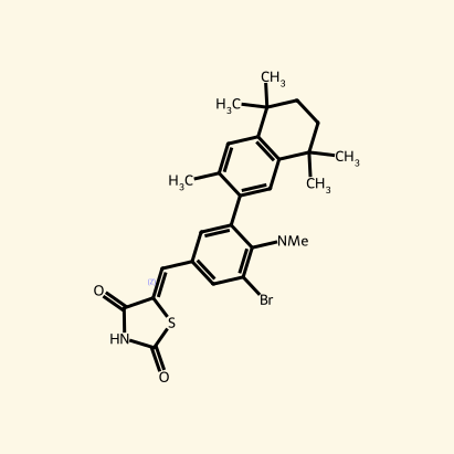 CNc1c(Br)cc(/C=C2\SC(=O)NC2=O)cc1-c1cc2c(cc1C)C(C)(C)CCC2(C)C